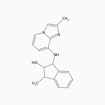 Cc1cn2cccc(NC3c4ccccc4C(C)C3O)c2n1